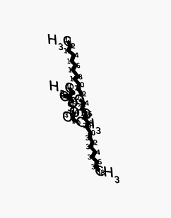 CCC(=O)OSOC(=O)CC.CCCCCCCCCCCCOCCOCCCCCCCCCCCC